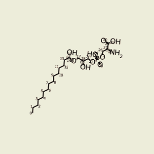 CCCCCCCCCCCCCC[C@H](O)OC[C@H](O)CO[P@](=O)(O)OC[C@H](N)C(=O)O